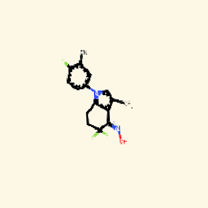 N#Cc1cc(-n2cc(C(F)(F)F)c3c2CCC(F)(F)/C3=N\O)ccc1F